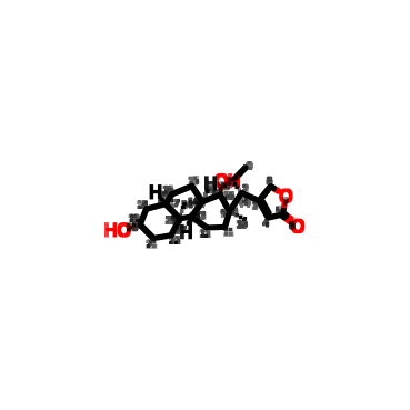 CC[C@H](C1=CC(=O)OC1)[C@@]1(C)CC[C@H]2[C@@H](CC[C@@H]3C[C@@H](O)CC[C@@]32C)[C@@H]1O